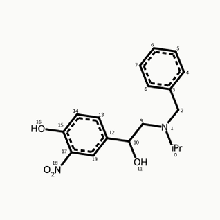 CC(C)N(Cc1ccccc1)CC(O)c1ccc(O)c([N+](=O)[O-])c1